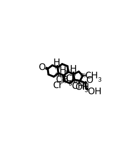 C[C@@H]1C[C@H]2[C@@H]3CC[C@H]4CC(=O)CC[C@]4(C)[C@@]3(Cl)[C@@H](Cl)C[C@]2(C)[C@@]1(O)C(=O)CO